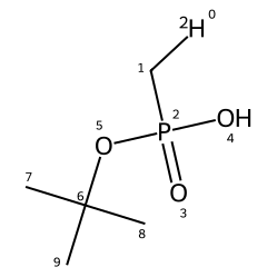 [2H]CP(=O)(O)OC(C)(C)C